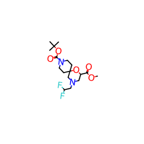 COC(=O)C1CN(CC(F)F)CC2(CCN(C(=O)OC(C)(C)C)CC2)O1